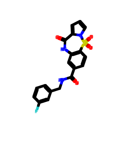 O=C(NCc1cccc(F)c1)c1ccc2c(c1)NC(=O)c1cccn1S2(=O)=O